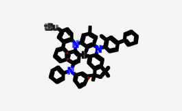 Cc1cc2c3c(c1)N(c1ccc(C(C)(C)C)cc1-c1ccccc1)c1ccc(N(c4ccccc4)c4ccccc4)cc1B3c1cc3c(cc1N2c1ccc(-c2ccccc2)cc1C)C(C)(C)CC3(C)C